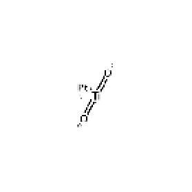 [O]=[Ti]=[O].[Pt]